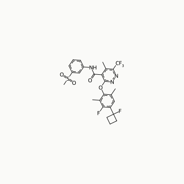 Cc1cc(C2(F)CCC2)c(F)c(C)c1Oc1nnc(C(F)(F)F)c(C)c1C(=O)Nc1cccc(S(C)(=O)=O)c1